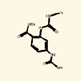 CCCC(=O)Nc1ccc(C(=O)OC)c(NC(=O)NC(C)C)c1